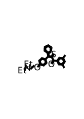 CCN(CC)CCOc1ccc(-c2c(C(=O)c3cc(C)cc(C)c3)sc3ccccc23)cc1